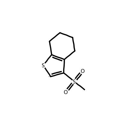 CS(=O)(=O)c1[c]sc2c1CCCC2